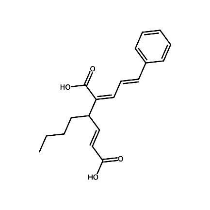 CCCCC(C=CC(=O)O)C(=CC=Cc1ccccc1)C(=O)O